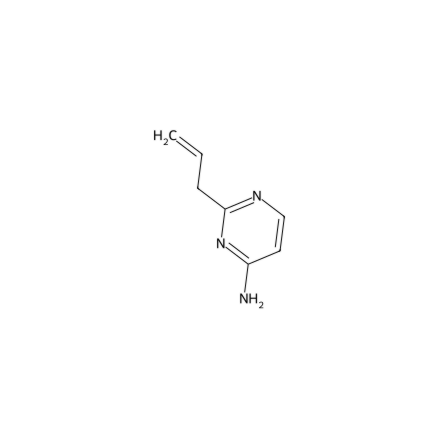 C=CCc1nccc(N)n1